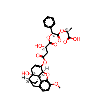 COc1ccc2c3c1O[C@@H]1C(OC(=O)C[C@H](O)C(=O)O[C@H](C(=O)O[C@@H](C)C(=O)O)c4ccccc4)=CC[C@]4(O)[C@@H](CCC[C@@]314)C2